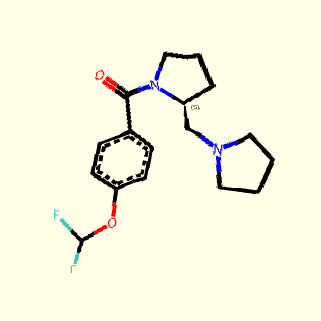 O=C(c1ccc(OC(F)F)cc1)N1CCC[C@H]1CN1CCCC1